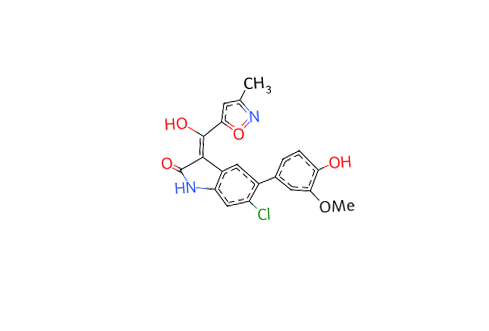 COc1cc(-c2cc3c(cc2Cl)NC(=O)C3=C(O)c2cc(C)no2)ccc1O